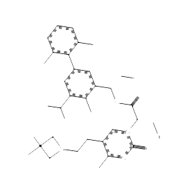 Cc1cccc(C)c1-c1cc(C(F)F)c(C)c([C@H](CC(=O)O)NC(=O)[C@H](CC(C)C)n2cc(CCN3CC(C)(F)C3)c(C)nc2=O)c1